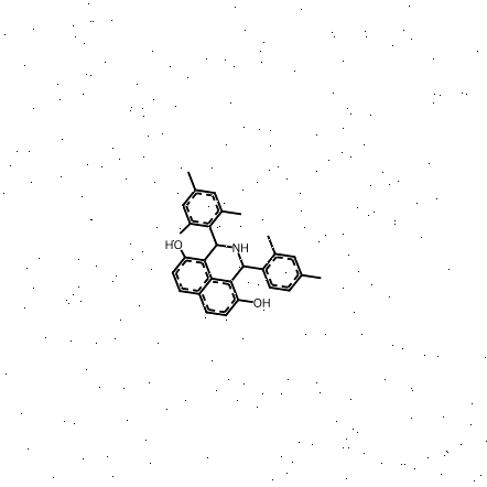 Cc1ccc(C2NC(c3c(C)cc(C)cc3C)c3c(O)ccc4ccc(O)c2c34)c(C)c1